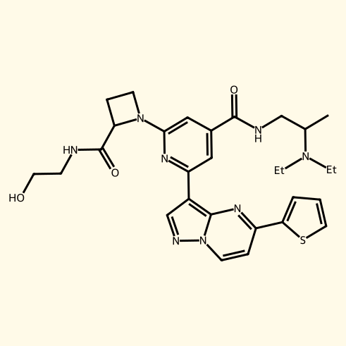 CCN(CC)C(C)CNC(=O)c1cc(-c2cnn3ccc(-c4cccs4)nc23)nc(N2CCC2C(=O)NCCO)c1